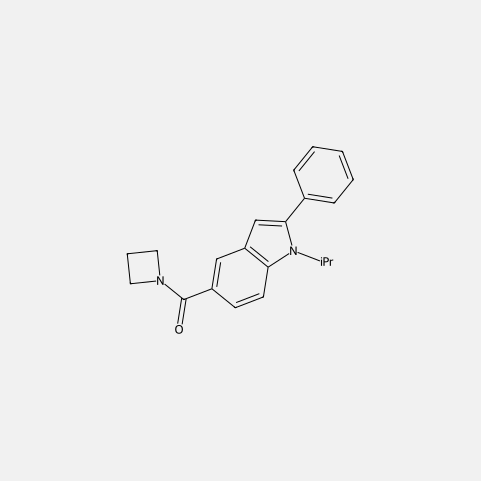 CC(C)n1c(-c2ccccc2)cc2cc(C(=O)N3CCC3)ccc21